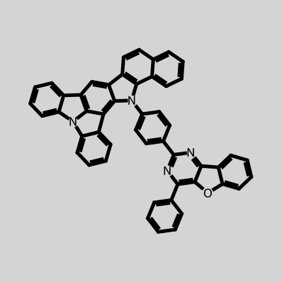 c1ccc(-c2nc(-c3ccc(-n4c5c6ccccc6ccc5c5cc6c7ccccc7n7c8ccccc8c(c54)c67)cc3)nc3c2oc2ccccc23)cc1